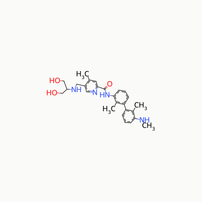 CNc1cccc(-c2cccc(NC(=O)c3cc(C)c(CNC(CO)CO)cn3)c2C)c1C